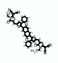 CCn1c(=C(C#N)C#N)s/c(=C\c2cc3c(s2)C2=CC4C=C5OC6(CCCCC6)c6cc(/C=c7/sc(=C(C#N)C#N)n(CC)c7=O)sc6C5=CC4C=C2OC32CCCCC2)c1=O